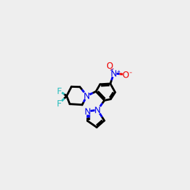 O=[N+]([O-])c1ccc(-n2cccn2)c(N2CCC(F)(F)CC2)c1